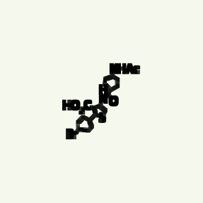 CC(=O)Nc1ccc(C(=O)Nc2csc(-c3ccc(Br)cc3)c2C(=O)O)cc1